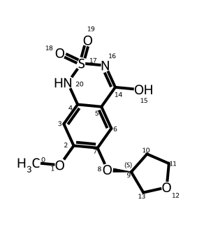 COc1cc2c(cc1O[C@H]1CCOC1)C(O)=NS(=O)(=O)N2